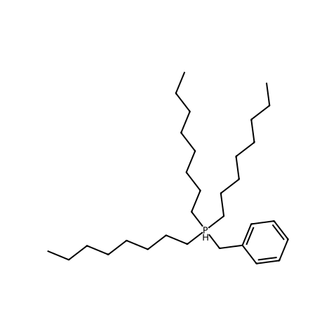 CCCCCCCC[PH](CCCCCCCC)(CCCCCCCC)Cc1ccccc1